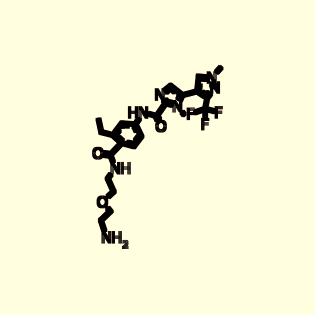 CCc1cc(NC(=O)c2ncc(-c3cn(C)nc3C(F)(F)F)n2C)ccc1C(=O)NCCOCCN